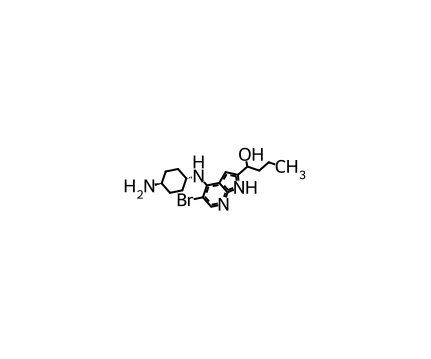 CCCC(O)c1cc2c(N[C@H]3CC[C@H](N)CC3)c(Br)cnc2[nH]1